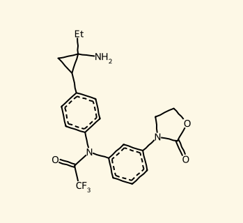 CCC1(N)CC1c1ccc(N(C(=O)C(F)(F)F)c2cccc(N3CCOC3=O)c2)cc1